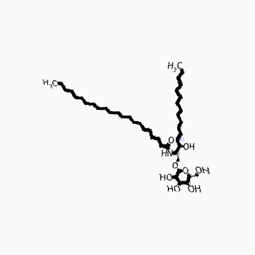 CCCCCCCCCCC/C=C/[C@@H](O)[C@H](CO[C@@H]1O[C@H](CO)[C@@H](O)C(O)C1O)NC(=O)CCCCCCCCCCCCCCCCCCCCC